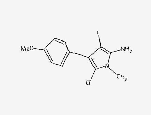 COc1ccc(-c2c(I)c(N)n(C)c2Cl)cc1